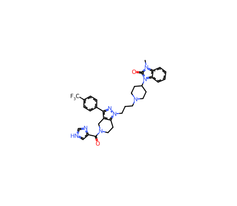 Cn1c(=O)n(C2CCN(CCCn3nc(-c4ccc(C(F)(F)F)cc4)c4c3CCN(C(=O)c3c[nH]cn3)C4)CC2)c2ccccc21